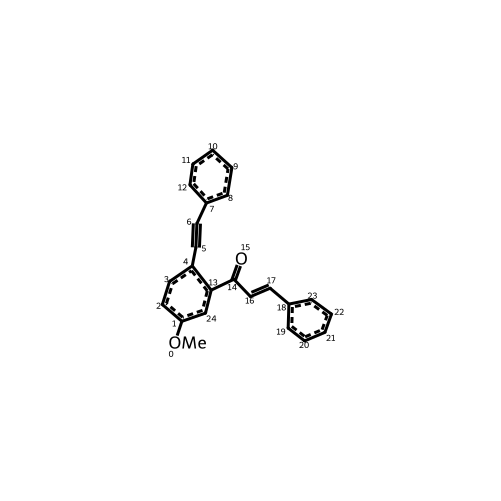 COc1ccc(C#Cc2ccccc2)c(C(=O)/C=C/c2ccccc2)c1